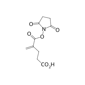 C=C(CCC(=O)O)C(=O)ON1C(=O)CCC1=O